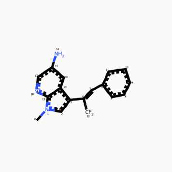 Cn1cc(C(=Cc2ccccc2)C(F)(F)F)c2cc(N)cnc21